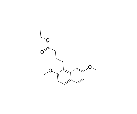 CCOC(=O)CCCc1c(OC)ccc2ccc(OC)cc12